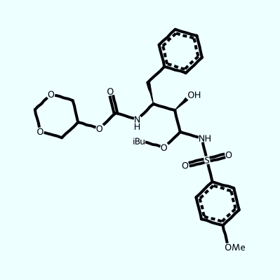 CCC(C)OC(NS(=O)(=O)c1ccc(OC)cc1)[C@H](O)[C@H](Cc1ccccc1)NC(=O)OC1COCOC1